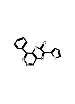 O=c1[nH]c2c(-c3ccccc3)nncc2nc1-c1cccs1